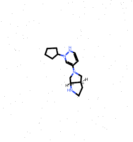 C1=CC(N2C[C@H]3CCN[C@H]3C2)=CN(C2CCCC2)N1